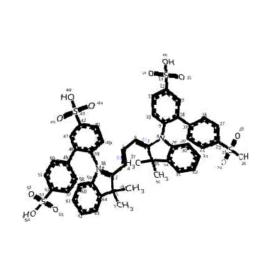 CC1(C)C(/C=C/C=C2/N(c3ccc(S(=O)(=O)O)cc3-c3ccc(S(=O)(=O)O)cc3)c3ccccc3C2(C)C)=[N+](c2ccc(S(=O)(=O)O)cc2-c2ccc(S(=O)(=O)O)cc2)c2ccccc21